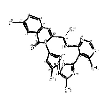 Cc1noc(-c2c(N)ncnc2N[C@@H](C)c2cc3ccc(Cl)cc3c(=O)n2-c2cc(C)[nH]n2)n1